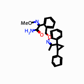 CO/N=C(\C(N)=O)c1ccccc1CO/N=C(/C)C1(c2ccccc2)CC1c1ccccc1